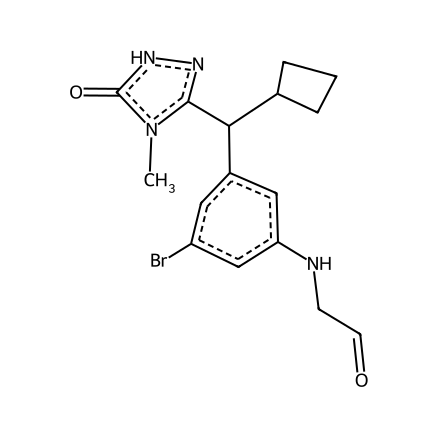 Cn1c(C(c2cc(Br)cc(NCC=O)c2)C2CCC2)n[nH]c1=O